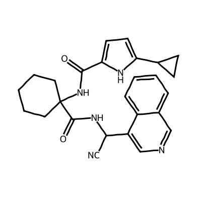 N#CC(NC(=O)C1(NC(=O)c2ccc(C3CC3)[nH]2)CCCCC1)c1cncc2ccccc12